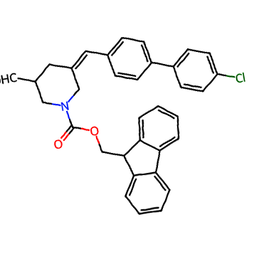 O=CC1CC(=Cc2ccc(-c3ccc(Cl)cc3)cc2)CN(C(=O)OCC2c3ccccc3-c3ccccc32)C1